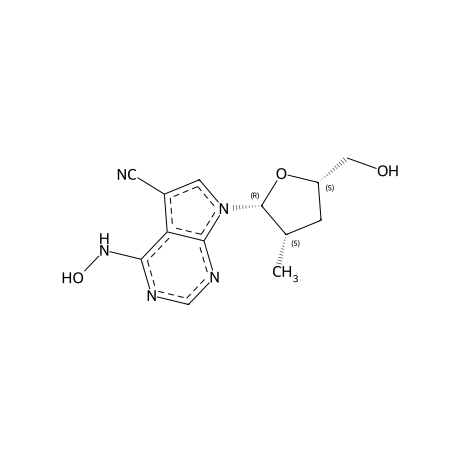 C[C@H]1C[C@@H](CO)O[C@H]1n1cc(C#N)c2c(NO)ncnc21